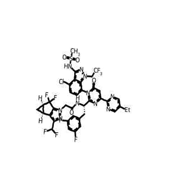 CCc1cnc(-c2cc(=O)n(-c3ccc(Cl)c4c(NS(C)(=O)=O)nn(CC(F)(F)F)c34)c([C@H](Cc3cc(F)cc(F)c3)NC(=O)Cn3nc(C(F)F)c4c3C(F)(F)[C@@H]3C[C@H]43)n2)nc1